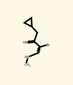 CN/C=C(/Br)C(=N)CC1CC1